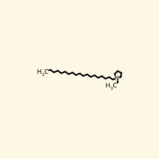 CCCCCCCCCCCCCCCCCCC[N+]1(CC)CCCC1